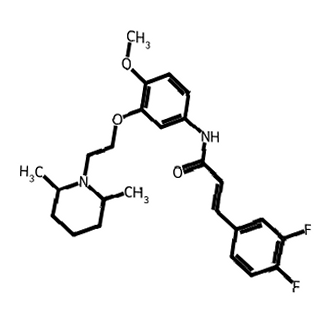 COc1ccc(NC(=O)C=Cc2ccc(F)c(F)c2)cc1OCCN1C(C)CCCC1C